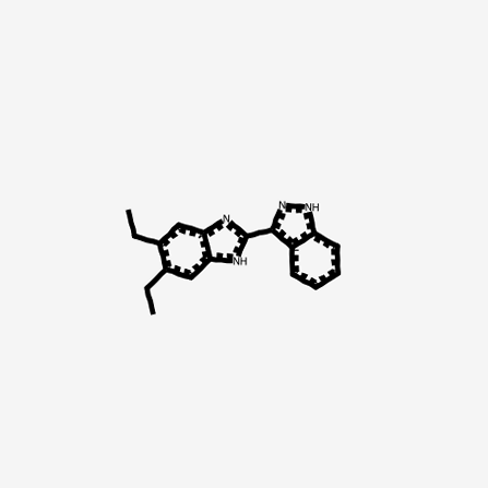 CCc1cc2nc(-c3n[nH]c4ccccc34)[nH]c2cc1CC